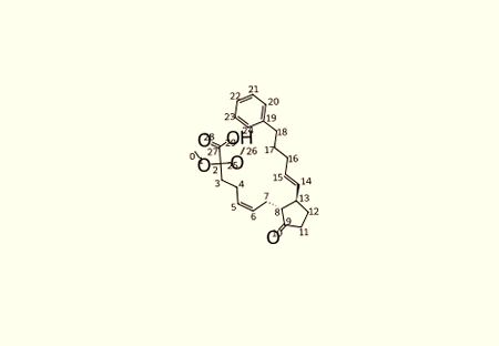 COC(CC/C=C\C[C@H]1C(=O)CC[C@@H]1/C=C/CCCc1ccccc1)(OC)C(=O)O